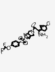 NC(C(=O)N1Cc2cn(S(=O)(=O)c3ccc(OC(F)F)cc3)nc2C1)c1ccc(Cl)cc1